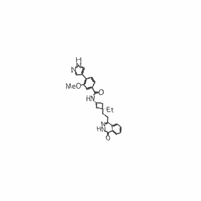 CC[C@]1(CCc2n[nH]c(=O)c3ccccc23)C[C@H](NC(=O)c2ccc(-c3cn[nH]c3)c(OC)c2)C1